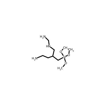 CO[Si](CC(CCN)CNCN)(OC)OC